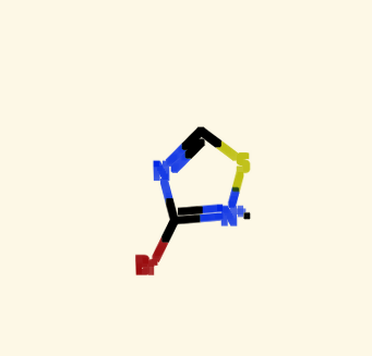 BrC1=[N+]SC=N1